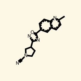 Cc1ccc2cc(-c3nc(C4CCN(C#N)C4)no3)ccc2n1